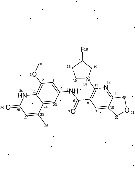 COc1cc(NC(=O)c2cc3c(nc2N2CCC(F)C2)COC3)cc2c(C)cc(=O)[nH]c12